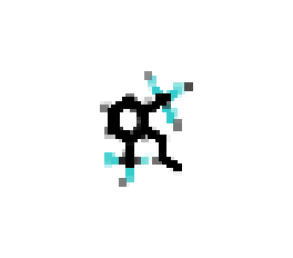 CCCc1c(C(F)(F)F)cccc1C(F)(F)F